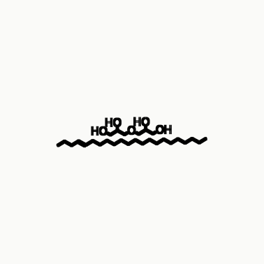 CCCC=CCCCCCCCCCCCCCCCCC.OCC(O)COCC(O)CO